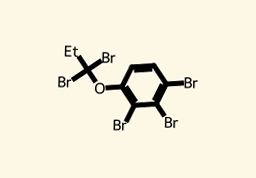 CCC(Br)(Br)Oc1ccc(Br)c(Br)c1Br